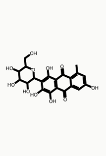 Cc1cc(O)cc2c1C(=O)c1c(O)c(C3OC(CO)C(O)C(O)C3O)c(O)c(O)c1C2=O